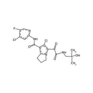 CC(C)(O)CNC(=O)C(=O)c1c(Cl)c(C(=O)Nc2ccc(F)c(Cl)c2)c2n1CCC2